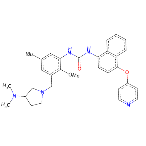 COc1c(CN2CCC(N(C)C)C2)cc(C(C)(C)C)cc1NC(=O)Nc1ccc(Oc2ccncc2)c2ccccc12